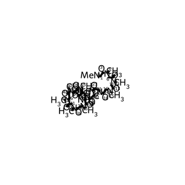 CNCC(=O)N(C)CC(=O)N(C)CC(=O)N(C)CC(=O)N(C)CC(=O)N(C)CC(=O)N(C)CC(=O)N(C)CC(=O)N(C)CC(=O)N(C)CC(=O)N(C)CC(=O)N(C)CC(N)=O